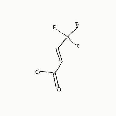 O=C(Cl)C=CC(F)(F)F